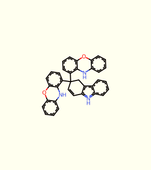 C1=CC(c2cccc3c2Nc2ccccc2O3)(c2cccc3c2Nc2ccccc2O3)Cc2c1[nH]c1ccccc21